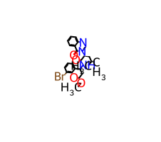 COC(=O)CC(NC(=O)[C@H](CC(C)C)n1cnc2ccccc2c1=O)c1cccc(Br)c1